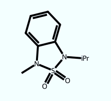 CC(C)N1c2ccccc2N(C)S1(=O)=O